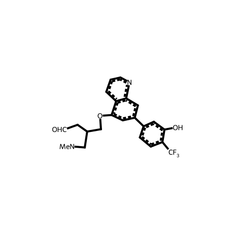 CNCC(CC=O)COc1cc(-c2ccc(C(F)(F)F)c(O)c2)cc2ncccc12